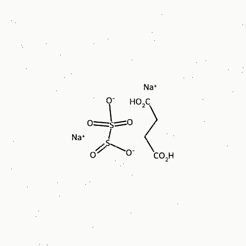 O=C(O)CCC(=O)O.O=S([O-])S(=O)(=O)[O-].[Na+].[Na+]